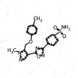 Cc1ccc(OCc2c(-c3nc(-c4ccc(S(N)(=O)=O)cc4)no3)cnn2C)cc1